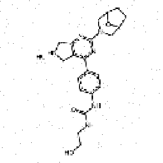 Cl.O=C(NCCO)Nc1ccc(-c2nc(N3CC4CCC(C3)O4)nc3c2CNC3)cc1